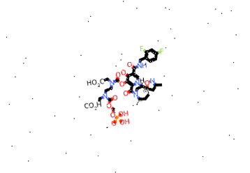 CC1=NO[C@@]2(CC[C@H](C)N3C[C@H]2n2cc(C(=O)NCc4ccc(F)cc4F)c(=O)c(OC(=O)N(CCN(CC(=O)O)C(=O)OCOP(=O)(O)O)CC(=O)O)c2C3=O)C1